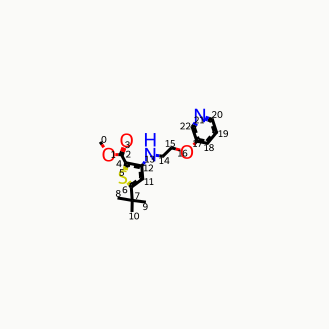 COC(=O)c1sc(C(C)(C)C)cc1NCCOc1cccnc1